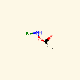 CC(=O)ONBr